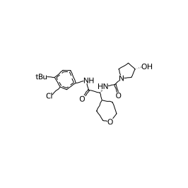 CC(C)(C)c1ccc(NC(=O)[C@H](NC(=O)N2CC[C@H](O)C2)C2CCOCC2)cc1Cl